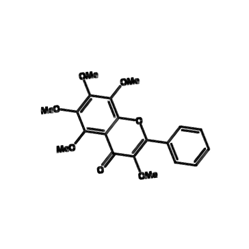 COc1c(OC)c(OC)c2c(=O)c(OC)c(-c3ccccc3)oc2c1OC